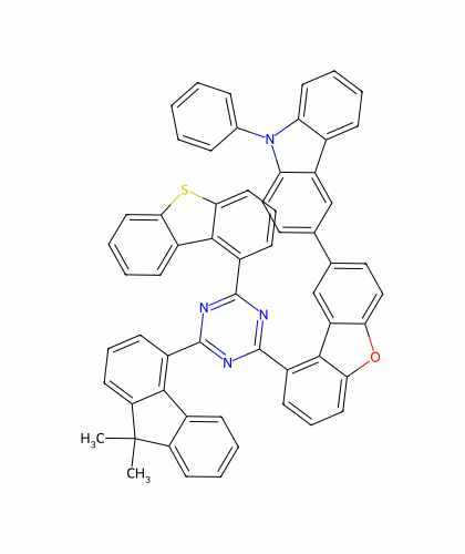 CC1(C)c2ccccc2-c2c(-c3nc(-c4cccc5oc6ccc(-c7ccc8c(c7)c7ccccc7n8-c7ccccc7)cc6c45)nc(-c4cccc5sc6ccccc6c45)n3)cccc21